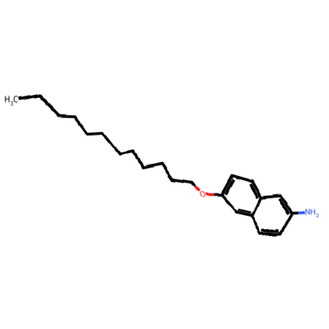 CCCCCCCCCCCCOc1ccc2cc(N)ccc2c1